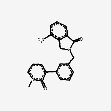 Cn1cccc(-c2cccc(CN3Cc4c(cccc4[N+](=O)[O-])C3=O)c2)c1=O